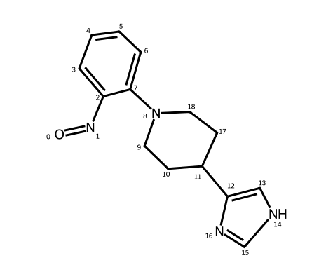 O=Nc1ccccc1N1CCC(c2c[nH]cn2)CC1